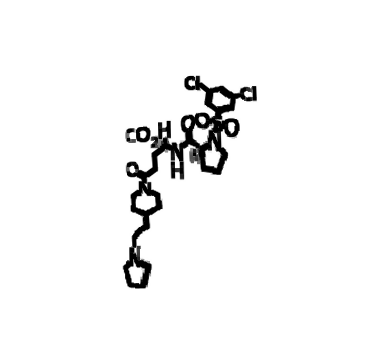 O=C(O)[C@H](CCC(=O)N1CCC(CCN2CCCC2)CC1)NC(=O)[C@@H]1CCCN1S(=O)(=O)c1cc(Cl)cc(Cl)c1